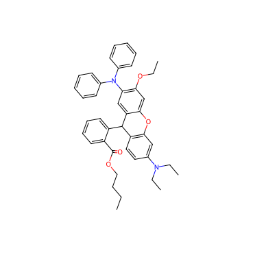 CCCCOC(=O)c1ccccc1C1c2ccc(N(CC)CC)cc2Oc2cc(OCC)c(N(c3ccccc3)c3ccccc3)cc21